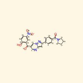 O=C(c1cnc2cc(-c3ccc(C(=O)N4CCCC4)cc3)nn2c1)c1cc([N+](=O)[O-])ccc1O